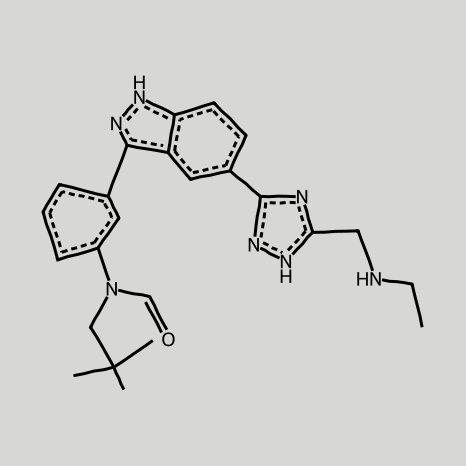 CCNCc1nc(-c2ccc3[nH]nc(-c4cccc(N(C=O)CC(C)(C)C)c4)c3c2)n[nH]1